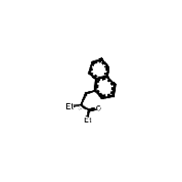 CCC(=O)[C@@H](CC)Cc1cccc2ccccc12